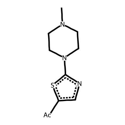 CC(=O)c1cnc(N2CCN(C)CC2)s1